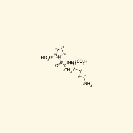 CC(NC(CCCCN)C(=O)O)C(=O)N1CCC[C@H]1C(=O)O